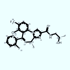 C[C@H](O)CNC(=O)c1cn2c(n1)[C@H](C)N=C(c1ncccc1F)c1c-2ccc(C(F)(F)F)c1Cl